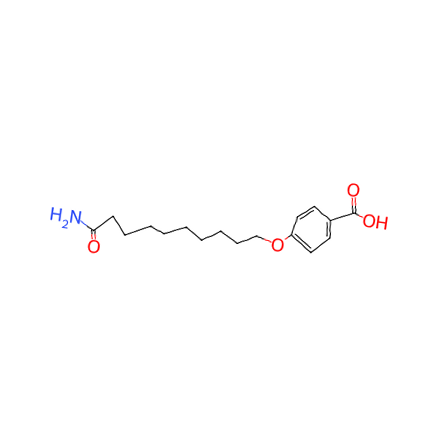 NC(=O)CCCCCCCCCOc1ccc(C(=O)O)cc1